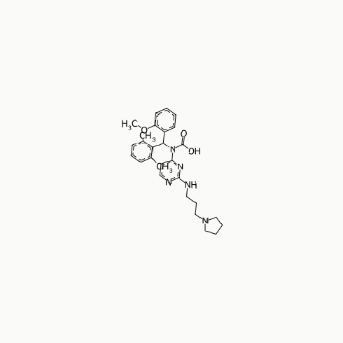 COc1ccccc1C(c1c(C)cccc1C)N(C(=O)O)c1ccnc(NCCCN2CCCC2)n1